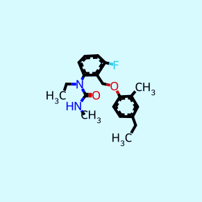 CCc1ccc(OCc2c(F)cccc2N(CC)C(=O)NC)c(C)c1